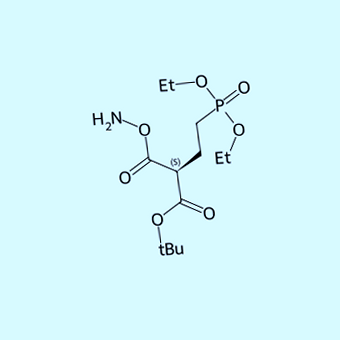 CCOP(=O)(CC[C@H](C(=O)ON)C(=O)OC(C)(C)C)OCC